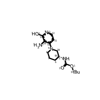 CC(C)(C)OC(=O)N[C@@H]1CCCN(c2ccnc(O)c2N)C1